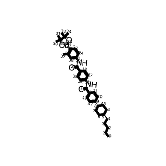 CCCCC[C@H]1CC[C@H](c2ccc(C(=O)Nc3ccc(C(=O)Nc4ccc(B5OC(C)(C)C(C)(C)O5)c(C)c4)cc3)cc2)CC1